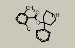 Cc1cccc(Cl)c1C(=O)OC1(c2ccccc2)CCNCC1